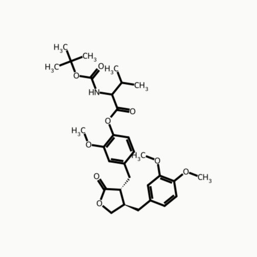 COc1ccc(C[C@H]2COC(=O)[C@@H]2Cc2ccc(OC(=O)C(NC(=O)OC(C)(C)C)C(C)C)c(OC)c2)cc1OC